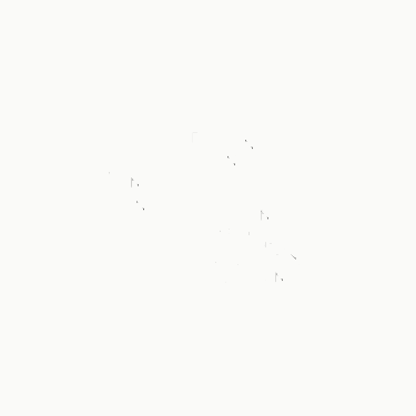 C[C@@H]1CN(c2ccnn3c(F)c(-c4cnn(C)c4)cc23)C(=O)[C@]1(C#N)C1CC1